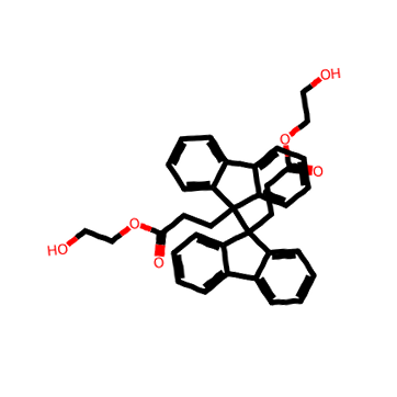 O=C(CCC1(C2(CCC(=O)OCCO)c3ccccc3-c3ccccc32)c2ccccc2-c2ccccc21)OCCO